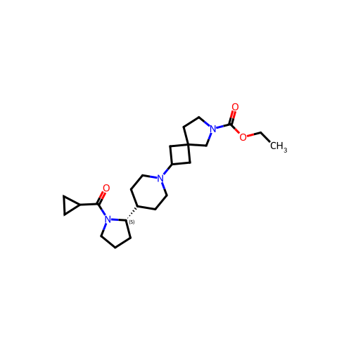 CCOC(=O)N1CCC2(CC(N3CCC([C@@H]4CCCN4C(=O)C4CC4)CC3)C2)C1